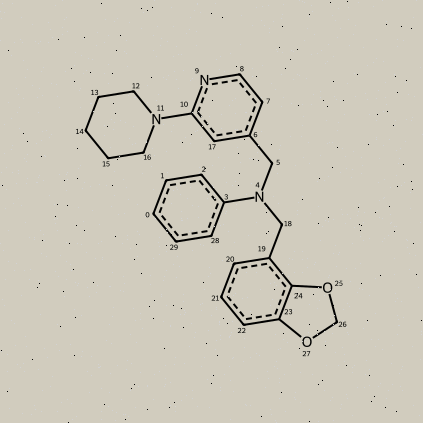 c1ccc(N(Cc2ccnc(N3CCCCC3)c2)Cc2cccc3c2OCO3)cc1